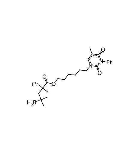 BC(C)(C)CC(C)(C(=O)OCCCCCCn1cc(C)c(=O)n(CC)c1=O)C(C)C